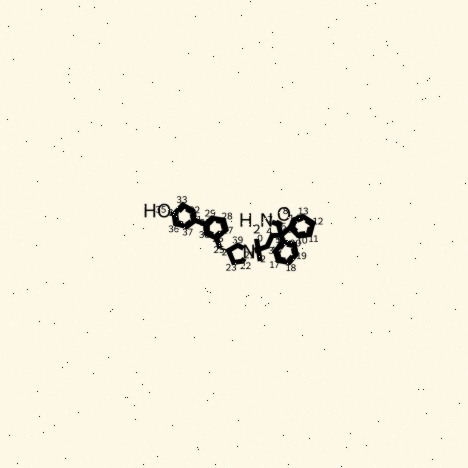 CC(C)(CCC(C(N)=O)(c1ccccc1)c1ccccc1)N1CC[C@H](Cc2cccc(-c3ccc(O)cc3)c2)C1